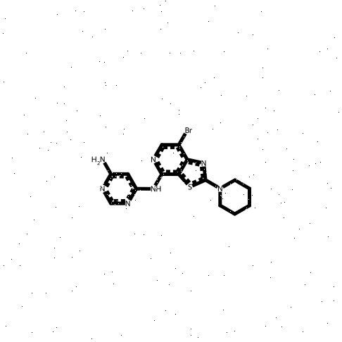 Nc1cc(Nc2ncc(Br)c3nc(N4CCCCC4)sc23)ncn1